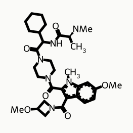 CN[C@@H](C)C(=O)NC(C(=O)N1CCN(C(=O)c2c(C(=O)N3CC(OC)C3)c3ccc(OC)cc3n2C)CC1)C1CCCCC1